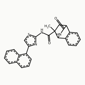 CC1(C(=O)Nc2nc(-c3cccc4ccccc34)cs2)CC2C(=O)NC1c1ccccc12